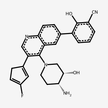 N#Cc1cccc(-c2ccc3ncc(C4=CC(F)=CC4)c(N4CC[C@@H](N)[C@@H](O)C4)c3c2)c1O